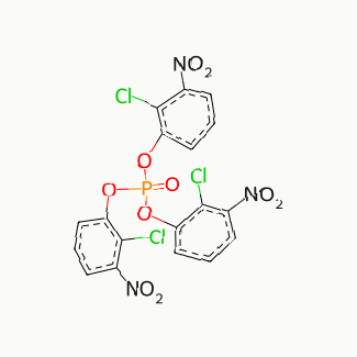 O=[N+]([O-])c1cccc(OP(=O)(Oc2cccc([N+](=O)[O-])c2Cl)Oc2cccc([N+](=O)[O-])c2Cl)c1Cl